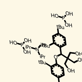 CC(C)(C)c1ccc(OC(c2ccc(C(C)(C)C)cc2C(C)(C)C)C(CO)(CO)CO)c(C(C)(C)C)c1.CC(C)N(C(C)C)C(C)C.OP(O)O.OP(O)O